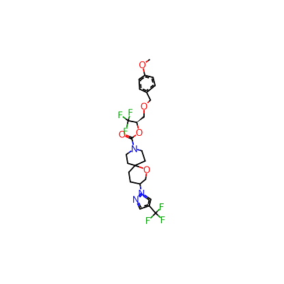 COc1ccc(COC[C@@H](OC(=O)N2CCC3(CCC(n4cc(C(F)(F)F)cn4)CO3)CC2)C(F)(F)F)cc1